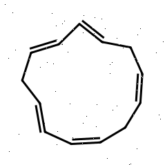 [C]1=C/C/C=C/C=C\C/C=C\C/C=C/1